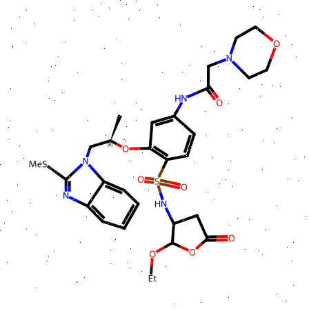 CCOC1OC(=O)CC1NS(=O)(=O)c1ccc(NC(=O)CN2CCOCC2)cc1O[C@H](C)Cn1c(SC)nc2ccccc21